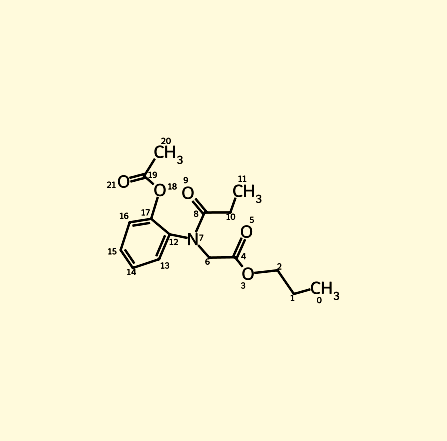 CCCOC(=O)CN(C(=O)CC)c1ccccc1OC(C)=O